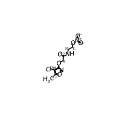 Cc1onc(OCC(=O)NCCO[N+](=O)[O-])c1Cl